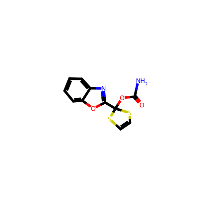 NC(=O)OC1(c2nc3ccccc3o2)SC=CS1